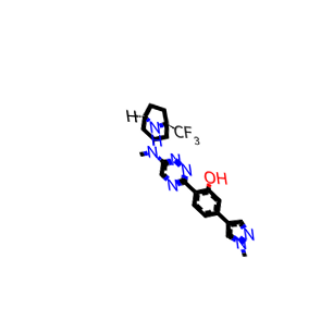 CN(c1cnc(-c2ccc(-c3cnn(C)c3)cc2O)nn1)[C@@H]1C[C@H]2CC[C@@](C(F)(F)F)(C1)N2